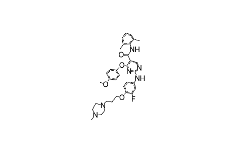 COc1ccc(Oc2nc(Nc3ccc(OCCCN4CCN(C)CC4)c(F)c3)ncc2C(=O)Nc2c(C)cccc2C)cc1